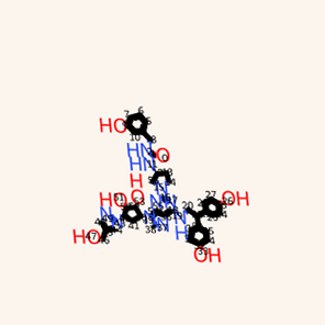 O=C(NCc1cccc(O)c1)N[C@@H]1CCN(c2nc(NCC(c3ccc(O)cc3)c3ccc(O)cc3)c3ncn([C@@H]4C[C@H](n5cc(CO)cn5)[C@@H](O)[C@H]4O)c3n2)C1